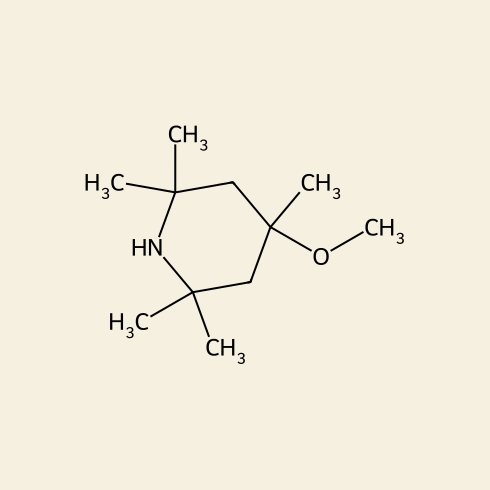 COC1(C)CC(C)(C)NC(C)(C)C1